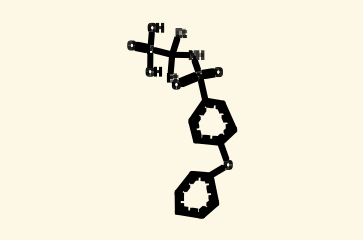 CCC(CC)(NS(=O)(=O)c1ccc(Oc2ccccc2)cc1)P(=O)(O)O